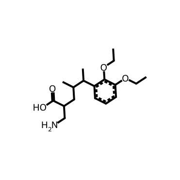 CCOc1cccc(C(C)C(C)CC(CN)C(=O)O)c1OCC